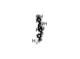 COc1cccc(OC2C[C@@H]3CN(CC(O)c4ccc(O)cn4)C[C@@H]3C2)c1